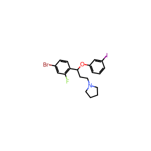 Fc1cc(Br)ccc1C(CCN1CCCC1)Oc1cccc(I)c1